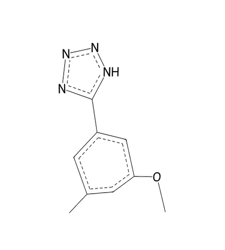 COc1cc(C)cc(-c2nnn[nH]2)c1